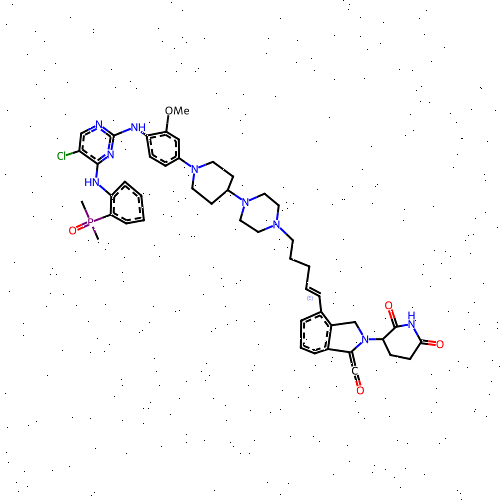 COc1cc(N2CCC(N3CCN(CCC/C=C/c4cccc5c4CN(C4CCC(=O)NC4=O)C5=C=O)CC3)CC2)ccc1Nc1ncc(Cl)c(Nc2ccccc2P(C)(C)=O)n1